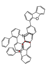 c1ccc(-c2ccccc2-c2c(-c3ccccc3)cccc2N(c2cccc(-c3cccc4c3oc3ccccc34)c2)c2ccc3c4ccccc4n(-c4ccccc4)c3c2)cc1